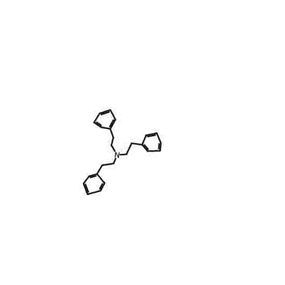 c1ccc(CCN(CCc2ccccc2)CCc2ccccc2)cc1